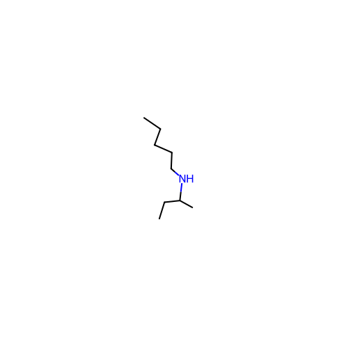 CCCCCNC(C)CC